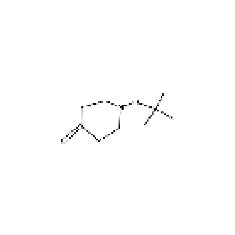 CC(C)(C)ON1CCC(=O)CC1